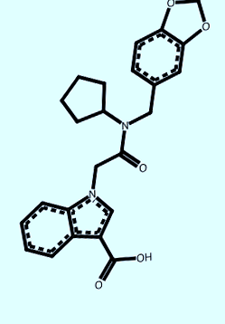 O=C(O)c1cn(CC(=O)N(Cc2ccc3c(c2)OCO3)C2CCCC2)c2ccccc12